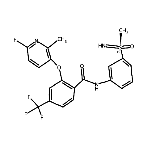 Cc1nc(F)ccc1Oc1cc(C(F)(F)F)ccc1C(=O)Nc1cccc([S@](C)(=N)=O)c1